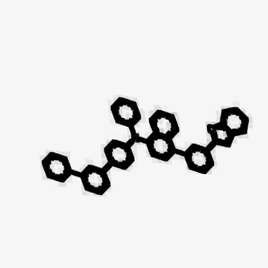 c1ccc(-c2cccc(-c3ccc(N(c4ccccc4)c4ccc(-c5cccc(-c6cc7ccccc7o6)c5)c5ccccc45)cc3)c2)cc1